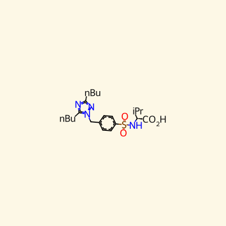 CCCCc1nc(CCCC)n(Cc2ccc(S(=O)(=O)N[C@H](C(=O)O)C(C)C)cc2)n1